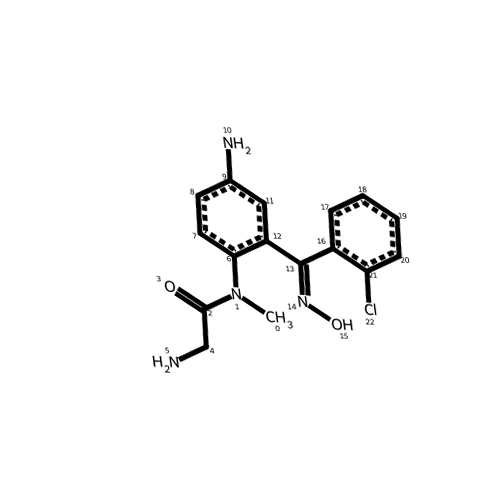 CN(C(=O)CN)c1ccc(N)cc1/C(=N/O)c1ccccc1Cl